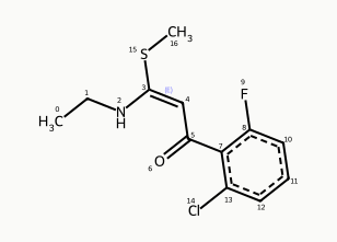 CCN/C(=C\C(=O)c1c(F)cccc1Cl)SC